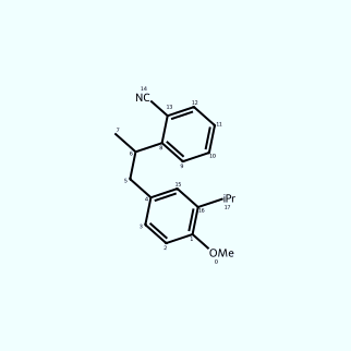 COc1ccc(CC(C)c2ccccc2C#N)cc1C(C)C